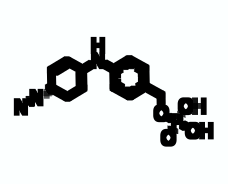 [N-]=[N+]=C1C=CC(Nc2ccc(COP(=O)(O)O)cc2)=CC1